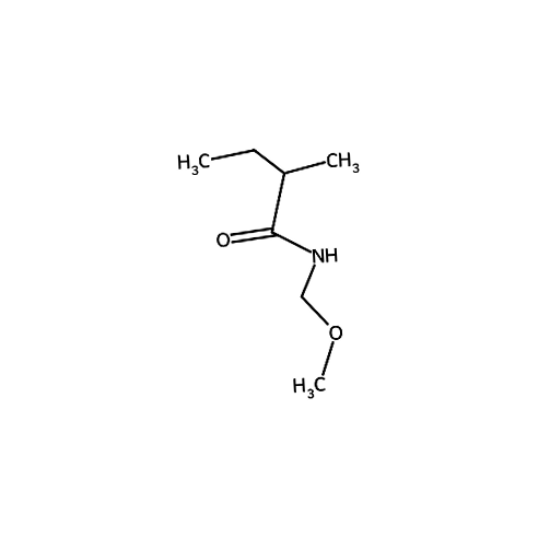 CCC(C)C(=O)NCOC